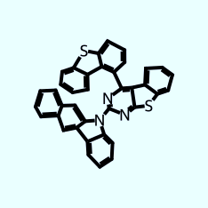 c1ccc2cc3c(cc2c1)c1ccccc1n3-c1nc(-c2cccc3sc4ccccc4c23)c2c(n1)sc1ccccc12